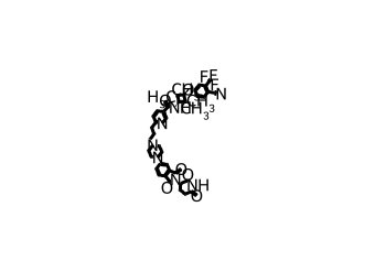 CC1(C)[C@H](NC(=O)c2ccc(CCCN3CCN(c4ccc5c(c4)C(=O)N(C4CCC(=O)NC4=O)C5=O)CC3)nc2)C(C)(C)[C@H]1Oc1ccc(C#N)c(C(F)(F)F)c1